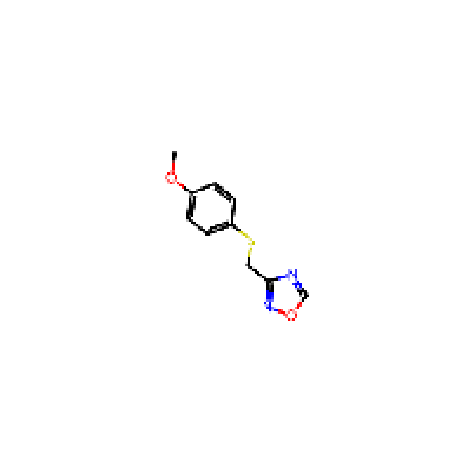 COc1ccc(SCc2ncon2)cc1